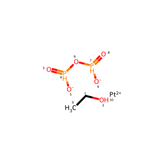 CCO.O=[PH]([O-])O[PH](=O)[O-].[Pt+2]